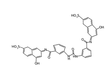 O=C(Nc1cccc(C(=O)N=C2C=C(O)C3=CC=C(S(=O)(=O)O)CC3=C2)c1)Nc1cccc(C(=O)N=C2C=C(O)C3=CC=C(S(=O)(=O)O)CC3=C2)c1